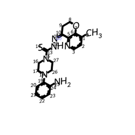 Cc1ccnc2c1OCC/C2=N/NC(=S)N1CCN(c2ccccc2N)CC1